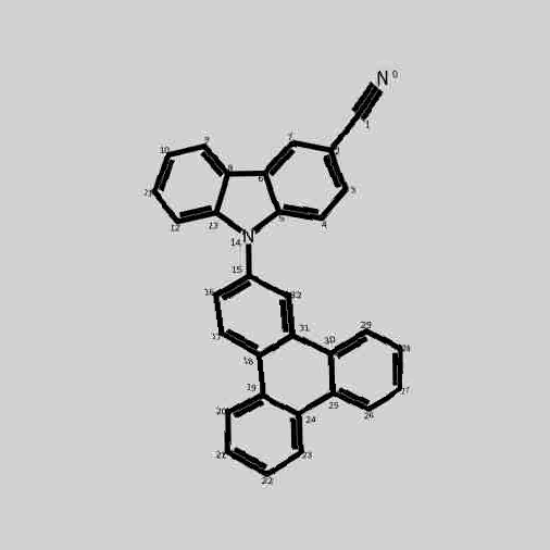 N#Cc1ccc2c(c1)c1ccccc1n2-c1ccc2c3ccccc3c3ccccc3c2c1